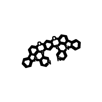 c1ccc2c(c1)c1ccc3c4c1n2-c1ccncc1B4c1cc2c(cc1O3)Oc1ccc3c4ccccc4n4c3c1B2c1cnccc1-4